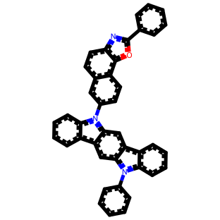 c1ccc(-c2nc3ccc4cc(-n5c6ccccc6c6cc7c(cc65)c5ccccc5n7-c5ccccc5)ccc4c3o2)cc1